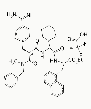 CCOC(=O)C(Cc1cccc2ccccc12)NC(=O)C(NC(=O)[C@H](Cc1ccc(C(=N)N)cc1)C(=O)N(C)Cc1ccccc1)C1CCCCC1.O=C(O)C(F)(F)F